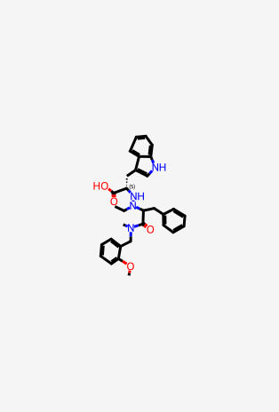 CCN(N[C@@H](Cc1c[nH]c2ccccc12)C(=O)O)C(Cc1ccccc1)C(=O)N(C)Cc1ccccc1OC